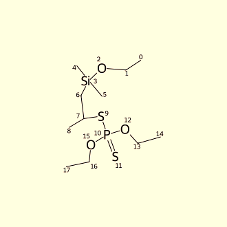 CCO[Si](C)(C)CC(C)SP(=S)(OCC)OCC